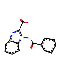 O=C(Nn1c(C(=O)O)nc2ccccc21)c1ccccc1